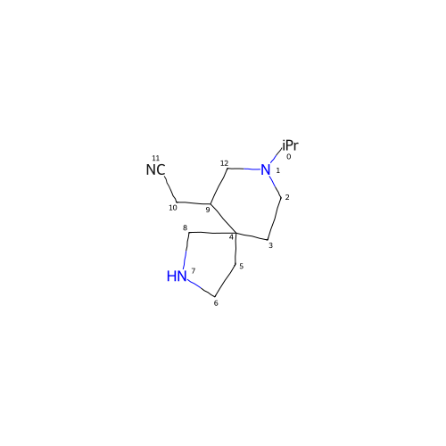 CC(C)N1CCC2(CCNC2)C(CC#N)C1